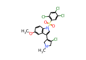 COc1ccc2c(c1)c(C1=C(Cl)CN(C)C1)cn2S(=O)(=O)c1cc(Cl)c(Cl)cc1Cl